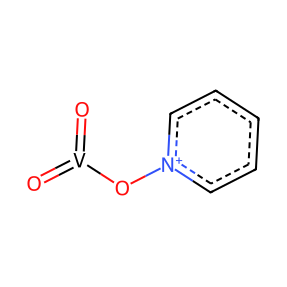 [O]=[V](=[O])[O][n+]1ccccc1